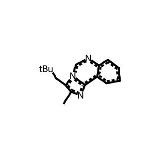 Cc1nc2c3ccccc3ncn2c1CC(C)(C)C